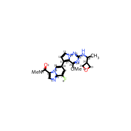 CNC(=O)c1cnc2c(F)cc(-c3ccn4nc(NC(C)C5COC5)nc(OC)c34)cn12